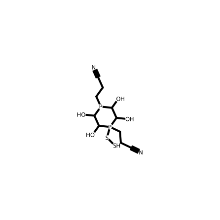 N#CCCP1C(O)C(O)[P](CCC#N)(SS)C(O)C1O